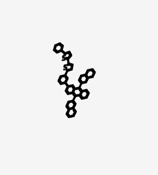 c1ccc(-c2ccc(-c3ccc(-c4cccc(-c5ccc6c(-c7ccc8ccccc8c7)c7ccccc7c(-c7ccc8ccccc8c7)c6c5)c4)s3)s2)cc1